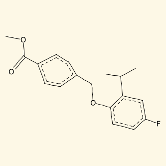 COC(=O)c1ccc(COc2ccc(F)cc2C(C)C)cc1